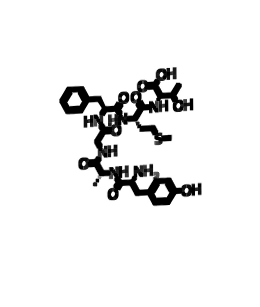 CSCC[C@H](NC(=O)[C@H](Cc1ccccc1)NC(=O)CNC(=O)[C@@H](C)NC(=O)[C@@H](N)Cc1ccc(O)cc1)C(=O)N[C@H](C(=O)O)C(C)O